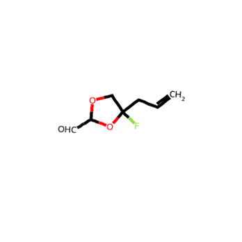 C=CCC1(F)COC(C=O)O1